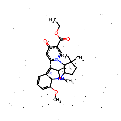 CCOC(=O)c1cn2c(cc1=O)/C(C(C)CC)=C1\C=CC=C(OC)C1NC1CCC(C)(C)C12